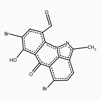 Cc1nn2c3c(C=O)cc(Br)c(O)c3c(=O)c3c(Br)ccc1c32